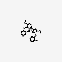 COc1cnc(-c2cc(OC)n(Cc3ccccc3F)n2)nc1Nc1ccncc1C#N